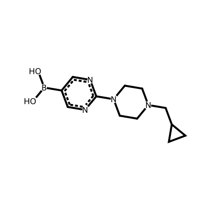 OB(O)c1cnc(N2CCN(CC3CC3)CC2)nc1